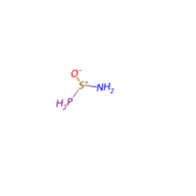 N[S+]([O-])P